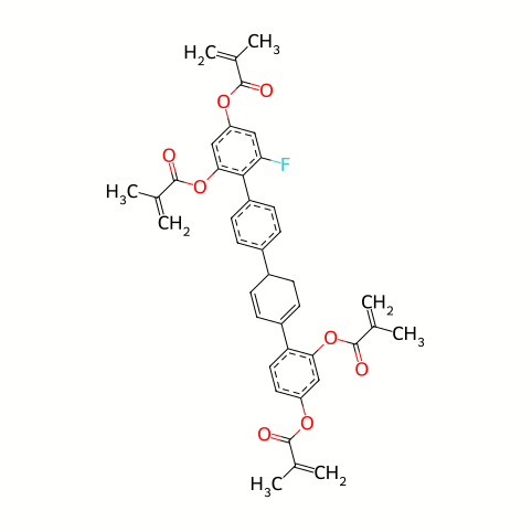 C=C(C)C(=O)Oc1ccc(C2=CCC(c3ccc(-c4c(F)cc(OC(=O)C(=C)C)cc4OC(=O)C(=C)C)cc3)C=C2)c(OC(=O)C(=C)C)c1